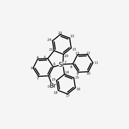 Brc1cccc2c1[Si](c1ccccc1)(c1ccccc1)c1ccccc1-2